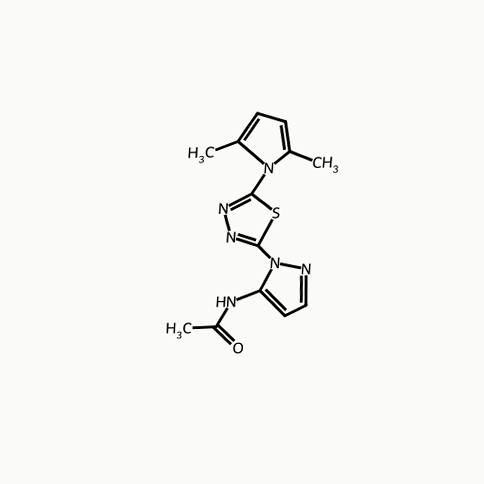 CC(=O)Nc1ccnn1-c1nnc(-n2c(C)ccc2C)s1